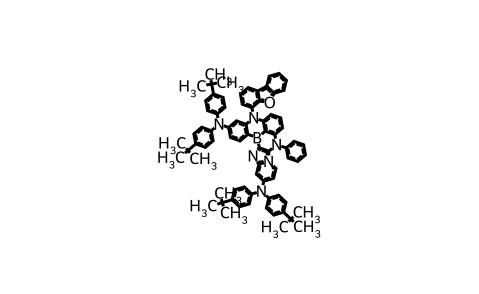 CC(C)(C)c1ccc(N(c2ccc(C(C)(C)C)cc2)c2ccc3c(c2)N(c2cccc4c2oc2ccccc24)c2cccc4c2B3c2nc3cc(N(c5ccc(C(C)(C)C)cc5)c5ccc(C(C)(C)C)cc5)ccn3c2N4c2ccccc2)cc1